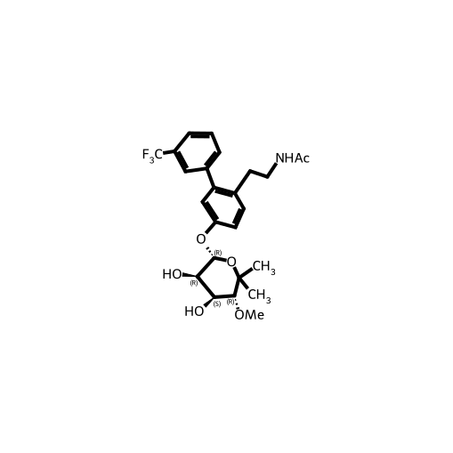 CO[C@@H]1[C@@H](O)[C@@H](O)[C@H](Oc2ccc(CCNC(C)=O)c(-c3cccc(C(F)(F)F)c3)c2)OC1(C)C